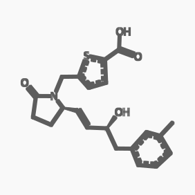 Cc1cccc(C[C@H](O)/C=C/[C@H]2CCC(=O)N2Cc2ccc(C(=O)O)s2)c1